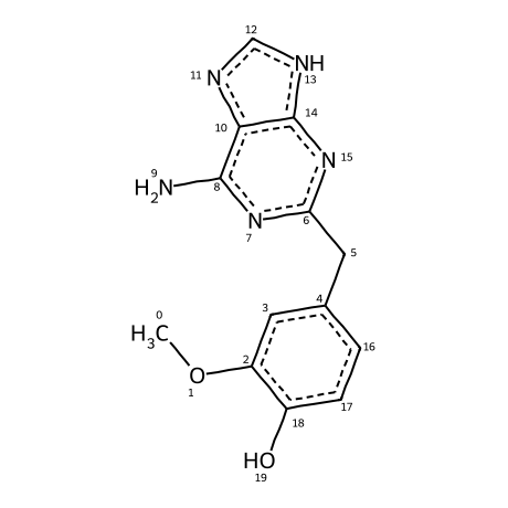 COc1cc(Cc2nc(N)c3nc[nH]c3n2)ccc1O